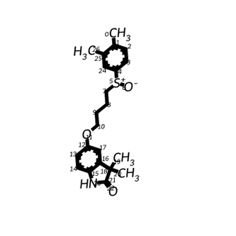 Cc1ccc([S+]([O-])CCCCOc2ccc3c(c2)C(C)(C)C(=O)N3)cc1C